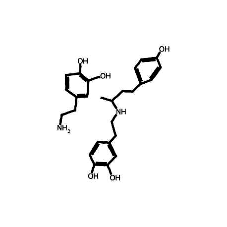 CC(CCc1ccc(O)cc1)NCCc1ccc(O)c(O)c1.NCCc1ccc(O)c(O)c1